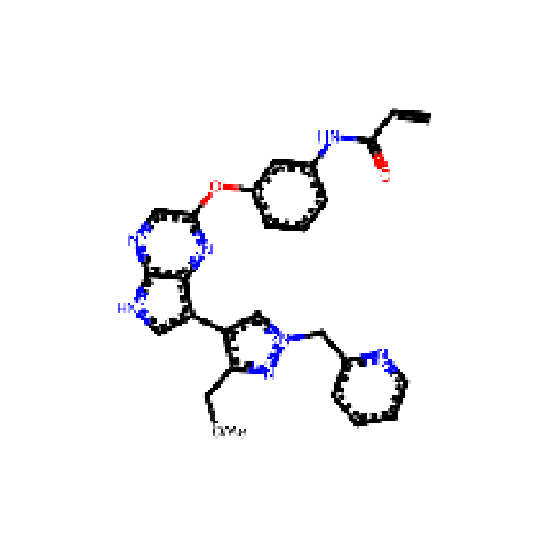 C=CC(=O)Nc1cccc(Oc2cnc3[nH]cc(-c4cn(Cc5ccccn5)nc4COC)c3n2)c1